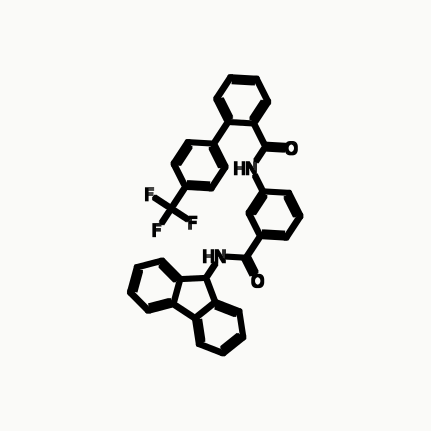 O=C(NC1c2ccccc2-c2ccccc21)c1cccc(NC(=O)c2ccccc2-c2ccc(C(F)(F)F)cc2)c1